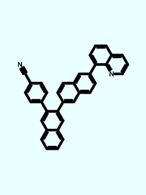 N#Cc1ccc(-c2cc3ccccc3cc2-c2ccc3cc(-c4cccc5cccnc45)ccc3c2)cc1